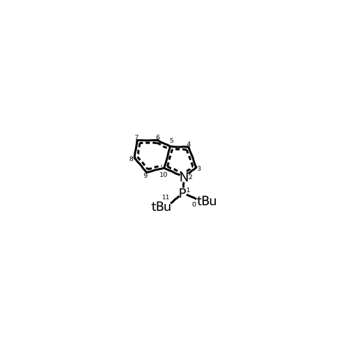 CC(C)(C)P(n1ccc2ccccc21)C(C)(C)C